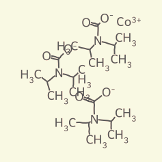 CC(C)N(C(=O)[O-])C(C)C.CC(C)N(C(=O)[O-])C(C)C.CC(C)N(C(=O)[O-])C(C)C.[Co+3]